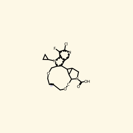 O=C(O)N1CC2C3c4c(n(C5CC5)c5c(F)c(Cl)ncc45)COC/C=C/COCC1C23